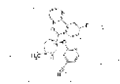 C[C@@H]1CC[C@](Oc2cc(C#N)ccn2)(C(=O)c2ccc(F)cc2-c2ncccn2)CN1